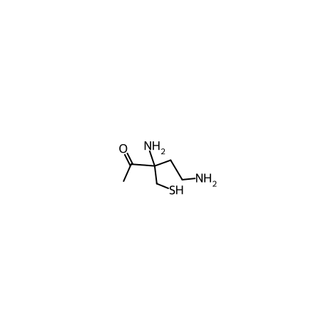 CC(=O)C(N)(CS)CCN